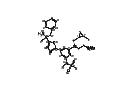 COCCN(CC1CC1C)c1cc(-c2nnc(C(C)(N)Cc3ccccc3)o2)cc(N(C)S(C)(=O)=O)n1